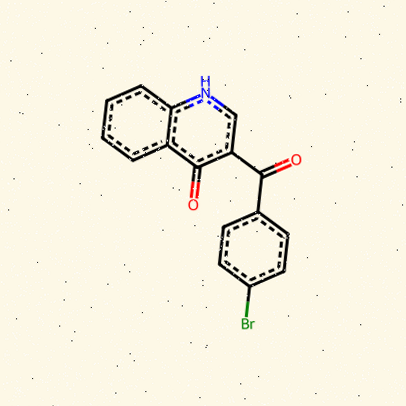 O=C(c1ccc(Br)cc1)c1c[nH]c2ccccc2c1=O